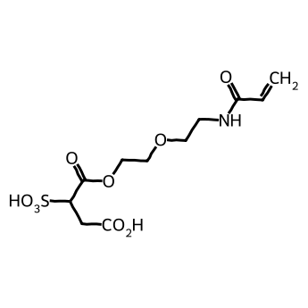 C=CC(=O)NCCOCCOC(=O)C(CC(=O)O)S(=O)(=O)O